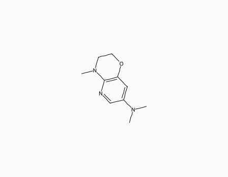 CN(C)c1cnc2c(c1)OCCN2C